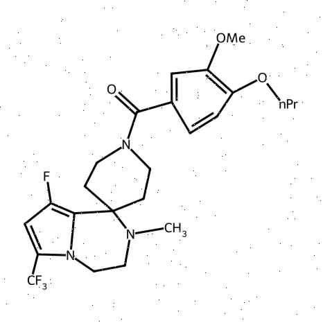 CCCOc1ccc(C(=O)N2CCC3(CC2)c2c(F)cc(C(F)(F)F)n2CCN3C)cc1OC